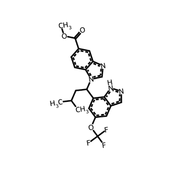 COC(=O)c1ccc2c(c1)ncn2C(CC(C)C)c1cc(OC(F)(F)F)cc2cn[nH]c12